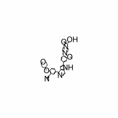 COc1cc(-c2cc3c(-c4ccc(OC5CCOCC5)c(C#N)c4)nccc3[nH]2)ccc1N1CCN(C(=O)CO)CC1